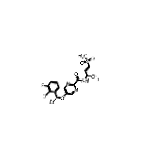 CC[C@@H](Oc1cnc(C(=O)N[C@H](C)/C=C/S(C)(=O)=O)nc1)c1cccc(F)c1Cl